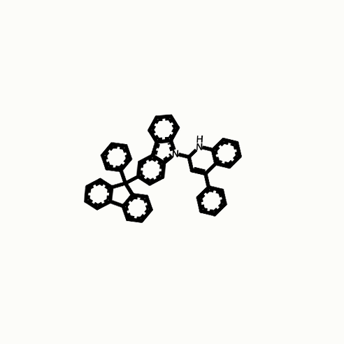 C1=C(c2ccccc2)c2ccccc2NC1n1c2ccccc2c2cc(C3(c4ccccc4)c4ccccc4-c4ccccc43)ccc21